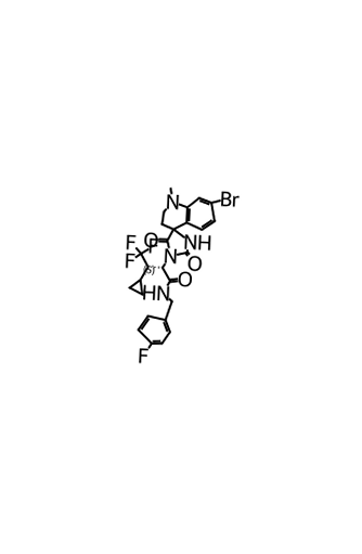 CN1CCC2(NC(=O)N(C(C(=O)NCc3ccc(F)cc3)[C@H](C3CC3)C(F)(F)F)C2=O)c2ccc(Br)cc21